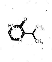 CC(N)c1ncc[nH]c1=O